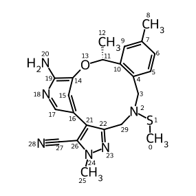 CSN1Cc2ccc(C)cc2[C@@H](C)Oc2cc(cnc2N)-c2c(nn(C)c2C#N)C1